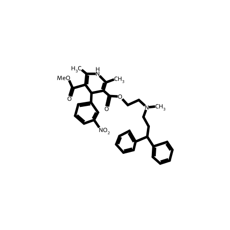 COC(=O)C1=C(C)NC(C)=C(C(=O)OCCN(C)CCC(c2ccccc2)c2ccccc2)C1c1cccc([N+](=O)[O-])c1